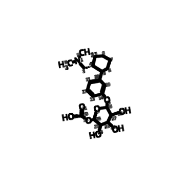 CN(C)C[C@@H]1CCCCC1c1cccc(OC2OC(OC(=O)O)C(O)C(O)C2O)c1